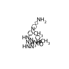 Cc1cc(Nc2nc(Nc3ccccc3P(C)(C)=O)c3nc[nH]c3n2)ccc1N1CCC2(CC1)CC(N)C2